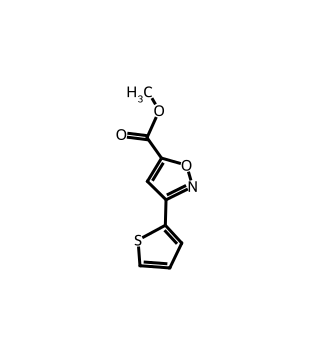 COC(=O)c1cc(-c2cccs2)no1